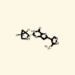 Cc1[nH]ncc1-c1cc2nc([C@@H]3NC[C@@H]4C[C@@H]43)[nH]c(=O)c2s1